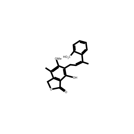 COc1c(C)c2c(c(O)c1CC=C(C)c1ccccc1C(=O)O)C(=O)OC2